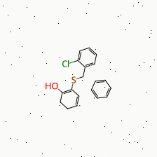 OC1=C(SCc2ccccc2Cl)C=[C]CC1.[c]1ccccc1